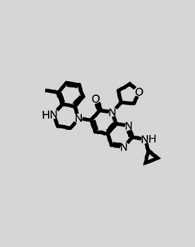 Cc1cccc2c1NCCN2c1cc2cnc(NC3CC3)nc2n(C2CCOC2)c1=O